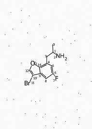 CC(N)Cc1cc(F)cc2c(Br)coc12